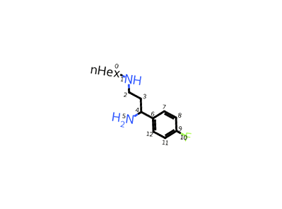 CCCCCCNCCC(N)c1ccc(F)cc1